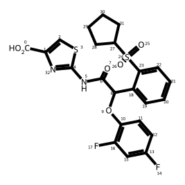 O=C(O)c1csc(NC(=O)C(Oc2ccc(F)cc2F)c2ccccc2S(=O)(=O)C2CCCC2)n1